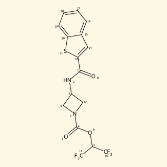 O=C(NC1CN(C(=O)OC(C(F)(F)F)C(F)(F)F)C1)c1cc2ccccc2s1